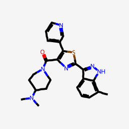 Cc1cccc2c(-c3nc(C(=O)N4CCC(N(C)C)CC4)c(-c4cccnc4)s3)n[nH]c12